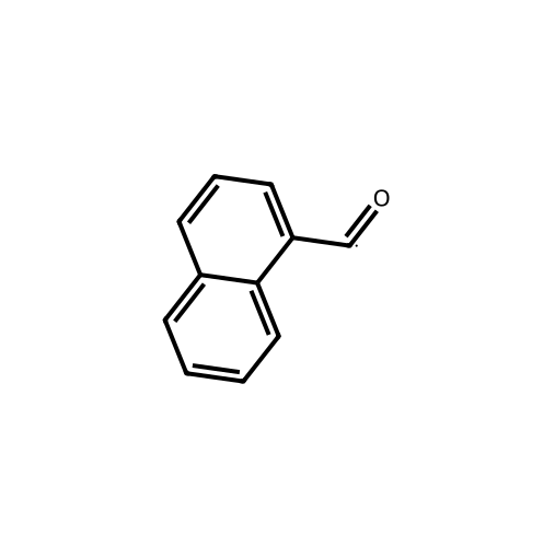 O=[C]c1cccc2ccccc12